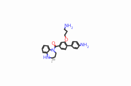 C[C@H]1CCN(C(=O)c2ccc(-c3ccc(N)cc3)c(OCCCN)c2)c2ccccc2N1